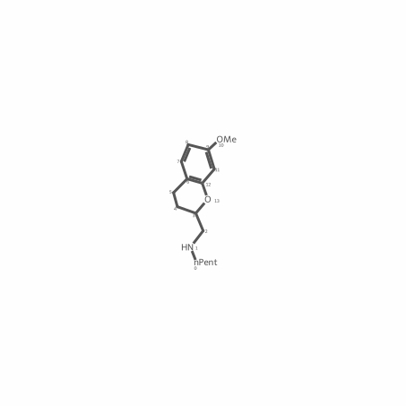 CCCCCNCC1CCc2ccc(OC)cc2O1